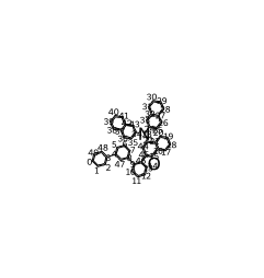 c1ccc(-c2cccc(-c3cccc4oc5c6ccccc6c(N(c6ccc7ccccc7c6)c6ccc7ccccc7c6)cc5c34)c2)cc1